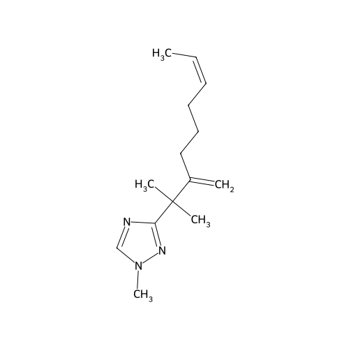 C=C(CCC/C=C\C)C(C)(C)c1ncn(C)n1